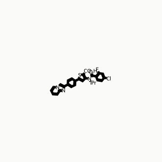 CC(C)N(C(=O)c1ccc(Cl)cc1F)c1cc(-c2ccc(-c3cn4ccccc4n3)cc2)sc1C(=O)O